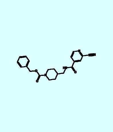 N#Cc1cc(C(=O)NCC2CCN(C(=O)OCc3ccccc3)CC2)ccn1